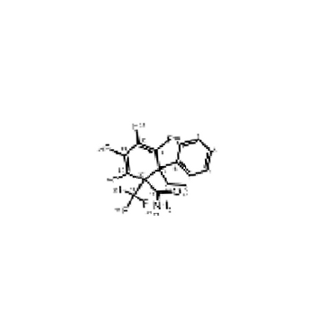 CCC1(c2ccccc2)C(F)=C(F)C(F)=C(F)C1(C(N)=O)C(F)(F)F